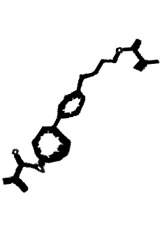 C=C(C)C(=C)OCCCCc1ccc(-c2ccc(OC(=O)C(=C)C)cc2)cc1